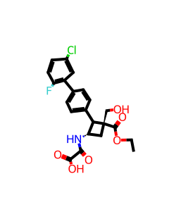 CCOC(=O)[C@]1(CO)C[C@H](NC(=O)C(=O)O)C1c1ccc(-c2cc(Cl)ccc2F)cc1